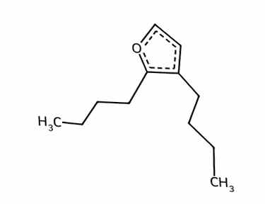 CCCCc1ccoc1CCCC